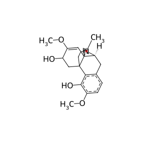 COC1=C[C@@H]2[C@@H]3Cc4ccc(OC)c(O)c4C2(CCN3C)CC1O